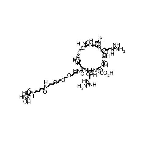 CC(C)CC[C@@H]1NC(=O)[C@@H](N)CCCCn2cc(nn2)C[C@@H](C(=O)NCCCOCCOCCOCCCNC(=O)CCCC[C@H]2SC[C@H]3NC(=O)N[C@H]32)NC(=O)[C@H](CCCNC(=N)N)NC(=O)[C@H](CC(=O)O)NC(=O)CNC(=O)[C@H](CCCNC(=N)N)NC1=O